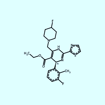 CCOC(=O)C1=C(CN2CCC(F)CC2)NC(c2nccs2)=N[C@H]1c1cccc(F)c1C